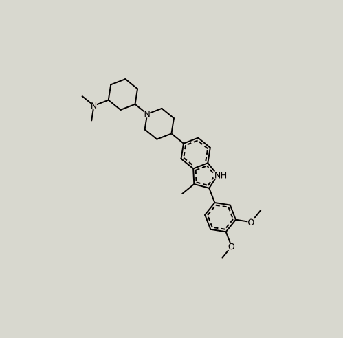 COc1ccc(-c2[nH]c3ccc(C4CCN(C5CCCC(N(C)C)C5)CC4)cc3c2C)cc1OC